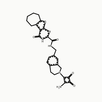 Nc1c(N2CCc3ccc(CNC(=O)c4nc5sc6c(c5c(=O)[nH]4)CCCCC6)cc3C2)c(=O)c1=O